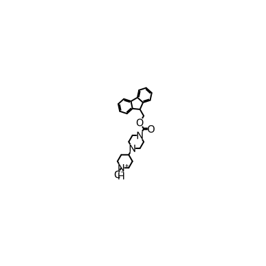 [CH2-][NH+]1CCC(N2CCN(C(=O)OCC3c4ccccc4-c4ccccc43)CC2)CC1